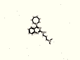 CN(C)CCCNc1nc(N2CCCCCC2)c2ccccc2n1